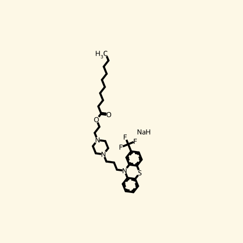 CCCCCCCCCC(=O)OCCN1CCN(CCCN2c3ccccc3Sc3ccc(C(F)(F)F)cc32)CC1.[NaH]